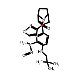 CN(N=O)c1nc(C2=CC3CCC(C2)N3C(=O)c2ccon2)ccc1NCC(C)(C)C